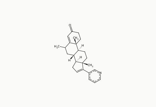 CC1C[C@@H]2[C@H](CC[C@]3(C)C(c4cccnc4)=CC[C@@H]23)[C@@]2(C)CCC(=O)C=C12